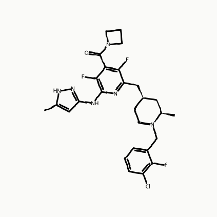 Cc1cc(Nc2nc(C[C@@H]3CCN(Cc4cccc(Cl)c4F)[C@H](C)C3)c(F)c(C(=O)N3CCC3)c2F)n[nH]1